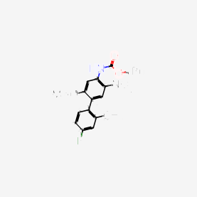 COc1cc(NC(=O)OC(C)(C)C)c([N+](=O)[O-])cc1-c1ccc(F)cc1C